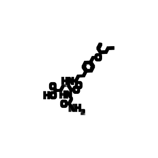 C=C/C=C(\C=C)OCc1ccc(CCC(=O)N[C@@H](CCC(=O)O)C(=O)NCC(N)=O)cc1